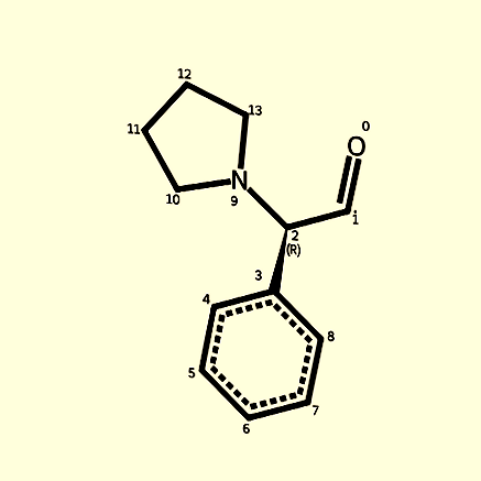 O=[C][C@@H](c1ccccc1)N1CCCC1